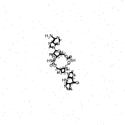 Nc1ncnc2c1ncn2[C@@H]1O[C@@H]2CO[P@](=O)(S)OC[C@@H]3[C@@H](CO[P@](=O)(S)O[C@H]2[C@H]1F)C[C@H]3n1cnc2c1NC1=NN=NC1C2=O